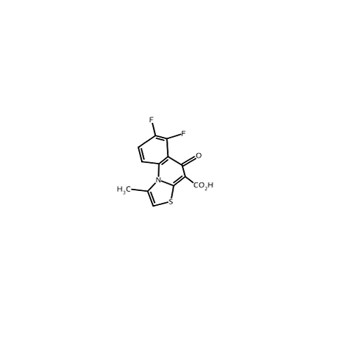 Cc1csc2c(C(=O)O)c(=O)c3c(F)c(F)ccc3n12